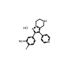 Cl.N#Cc1cc(-c2nn3c(c2-c2ccncc2)CNCC3)ccc1F